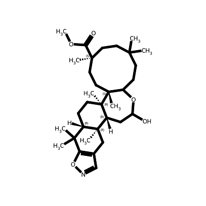 COC(=O)[C@@]1(C)CCC(C)(C)CCC2OC(O)C[C@@H]3[C@@]4(C)Cc5cnoc5C(C)(C)[C@@H]4CC[C@@]3(C)[C@]2(C)CC1